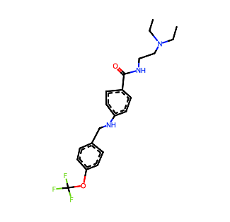 CCN(CC)CCNC(=O)c1ccc(NCc2ccc(OC(F)(F)F)cc2)cc1